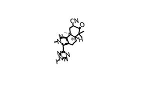 Cn1nc2c(c1-c1nnn(I)n1)CC[C@H]1C(C)(C)C(=O)C(C#N)C[C@]21C